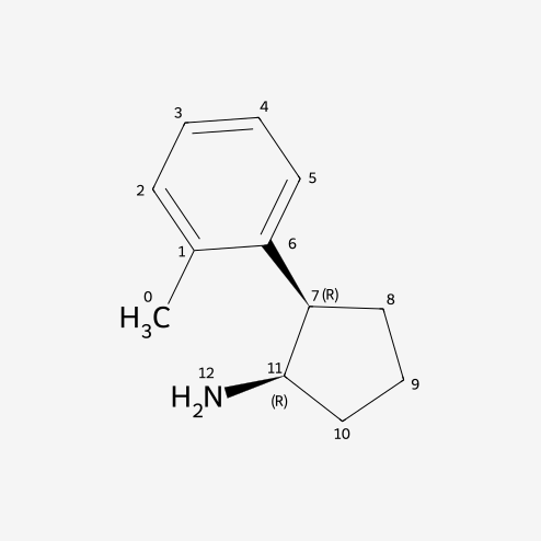 Cc1ccccc1[C@H]1CCC[C@H]1N